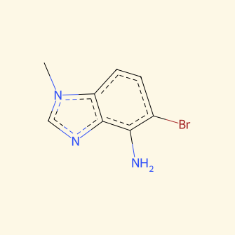 Cn1cnc2c(N)c(Br)ccc21